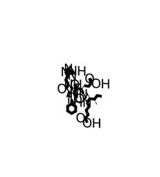 CC[C@H](C)[C@@H](CN[C@@H](CCC(=O)O)C(=O)N1C(=O)N(C2CCCCC2)C[C@H]1C(=O)NCc1nn[nH]n1)NCCCC(=O)O